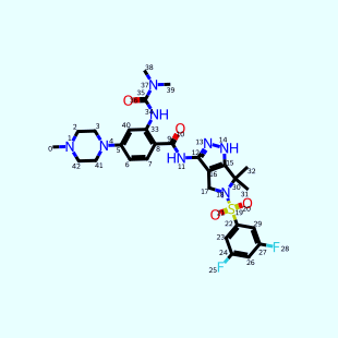 CN1CCN(c2ccc(C(=O)Nc3n[nH]c4c3CN(S(=O)(=O)c3cc(F)cc(F)c3)C4(C)C)c(NC(=O)N(C)C)c2)CC1